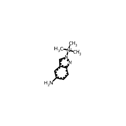 C[N+](C)(C)n1cc2cc(N)ccc2n1